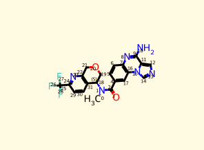 CN(C(=O)c1ccc2nc(N)c3cncn3c2c1)[C@@H]1COCc2nc(C(F)(F)F)ccc21